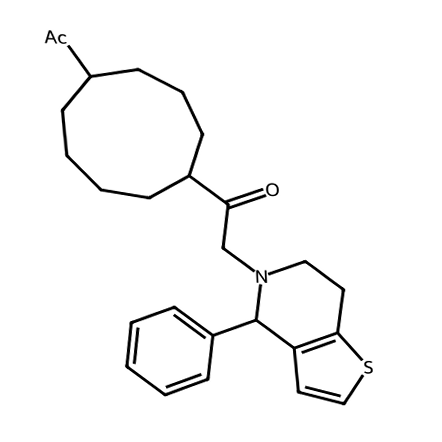 CC(=O)C1CCCCC(C(=O)CN2CCc3sccc3C2c2ccccc2)CCC1